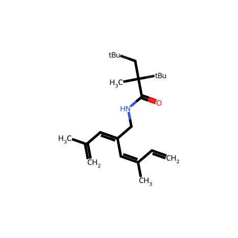 C=C/C(C)=C\C(=C/C(=C)C)CNC(=O)C(C)(CC(C)(C)C)C(C)(C)C